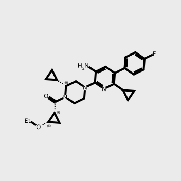 CCO[C@H]1C[C@H]1C(=O)N1CCN(c2nc(C3CC3)c(-c3ccc(F)cc3)cc2N)C[C@H]1C1CC1